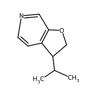 CC(C)C1COc2cnccc21